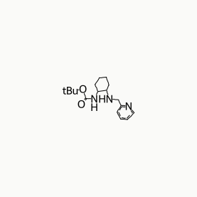 CC(C)(C)OC(=O)NC1CCCCC1NCc1ccccn1